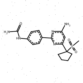 CS(=O)(=O)C1(c2cc(N)nc(-c3ccc(NC(N)=O)cc3)n2)CCCC1